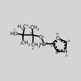 CC(C)(O)C(C)(C)OBc1cnco1